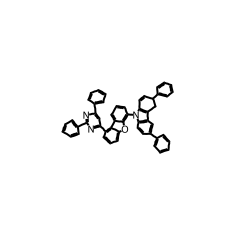 C1=CC(c2ccccc2)Cc2c1n(-c1cccc3c1oc1cccc(-c4cc(-c5ccccc5)nc(-c5ccccc5)n4)c13)c1ccc(-c3ccccc3)cc21